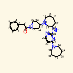 O=C(Cc1ccccc1)N1CCC(N2CCCCC(Nc3nccc(N4CCCCCC4)n3)C2)CC1